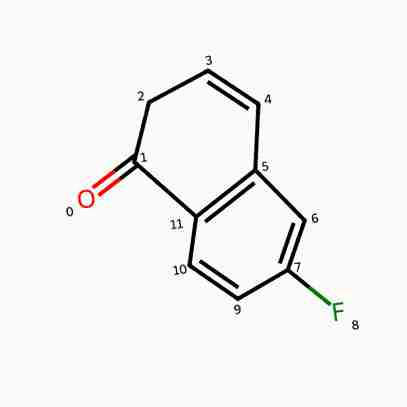 O=C1CC=Cc2cc(F)ccc21